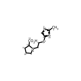 Cc1ncc(SCCN2CCCC2C(=O)O)s1